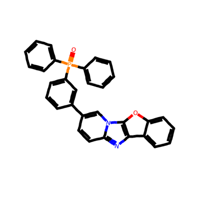 O=P(c1ccccc1)(c1ccccc1)c1cccc(-c2ccc3nc4c5ccccc5oc4n3c2)c1